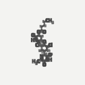 CCCCC(=O)Oc1cc(Oc2c(Cl)cc(-c3nn(C)c(=O)[nH]c3=O)cc2Cl)n[nH]c1=O